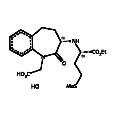 CCOC(=O)[C@H](CCSC)N[C@H]1CCc2ccccc2N(CC(=O)O)C1=O.Cl